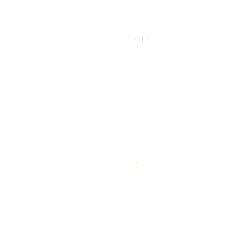 Cc1ccc(C2C=CC=CS2)cc1